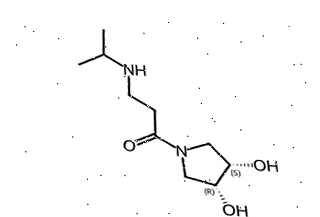 CC(C)NCCC(=O)N1C[C@@H](O)[C@@H](O)C1